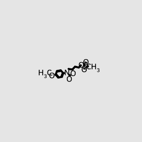 COc1ccc(N2CC(CCOS(C)(=O)=O)OC2=O)cc1